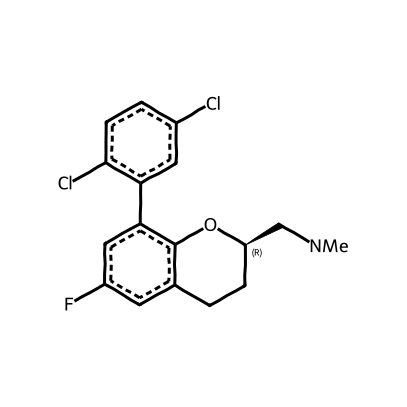 CNC[C@H]1CCc2cc(F)cc(-c3cc(Cl)ccc3Cl)c2O1